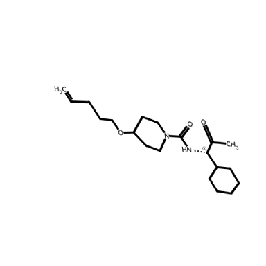 C=CCCCOC1CCN(C(=O)N[C@H](C(C)=O)C2CCCCC2)CC1